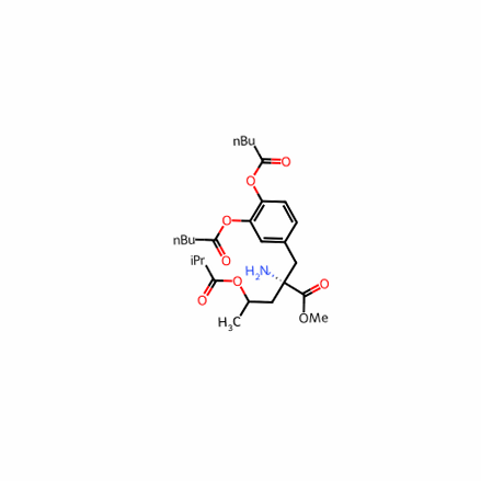 CCCCC(=O)Oc1ccc(C[C@](N)(CC(C)OC(=O)C(C)C)C(=O)OC)cc1OC(=O)CCCC